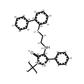 CC(C)(C)n1sc(-c2ccccc2)c(NCCSc2ccccc2-c2ccccc2)c1=O